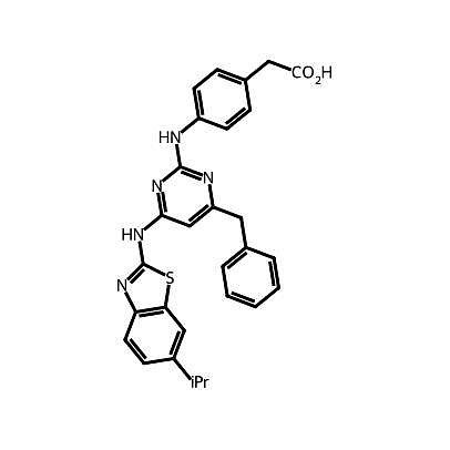 CC(C)c1ccc2nc(Nc3cc(Cc4ccccc4)nc(Nc4ccc(CC(=O)O)cc4)n3)sc2c1